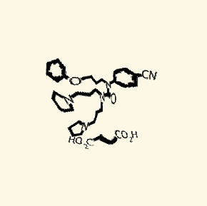 N#Cc1ccc(N(CCCOc2ccccc2)C(=O)N(CCCN2CCCC2)CCCN2CCCC2)cc1.O=C(O)C=CC(=O)O